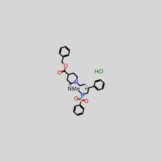 CN[C@@H]1CC(C(=O)OCc2ccccc2)CCN1CC[C@@H](CN(C)S(=O)(=O)c1ccccc1)c1ccccc1.Cl